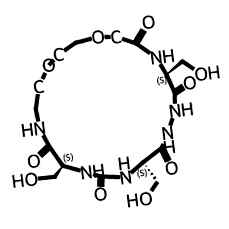 O=C1COCCOCCNC(=O)[C@H](CO)NC(=O)N[C@@H](CO)C(=O)NNC(=O)[C@H](CO)N1